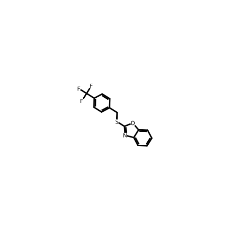 FC(F)(F)c1ccc(CSc2nc3ccccc3o2)cc1